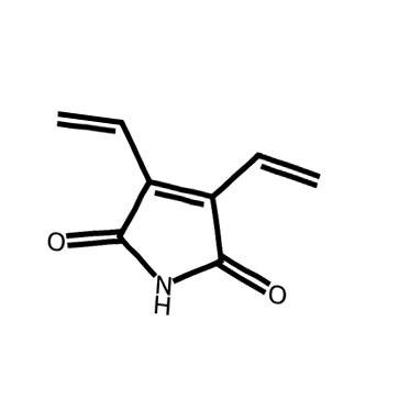 C=CC1=C(C=C)C(=O)NC1=O